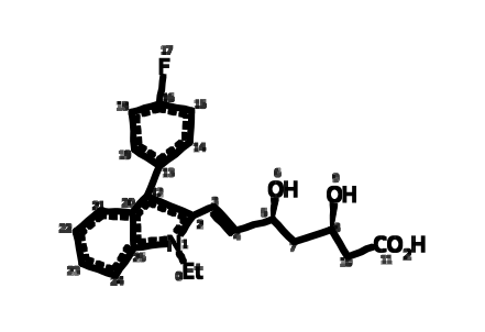 CCn1c(/C=C/[C@@H](O)C[C@@H](O)CC(=O)O)c(-c2ccc(F)cc2)c2ccccc21